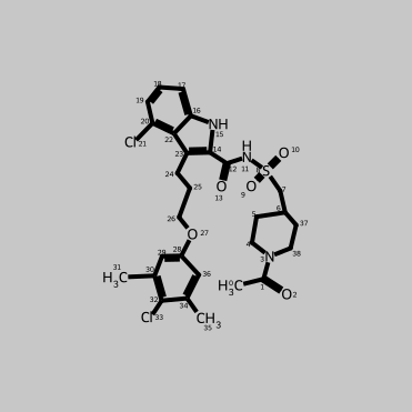 CC(=O)N1CCC(CS(=O)(=O)NC(=O)c2[nH]c3cccc(Cl)c3c2CCCOc2cc(C)c(Cl)c(C)c2)CC1